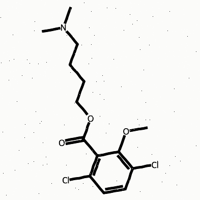 COc1c(Cl)ccc(Cl)c1C(=O)OCCCCN(C)C